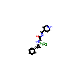 Cl.Cl.O=C(CN[C@@H]1C[C@H]1c1ccccc1)NCC1CCNCC1